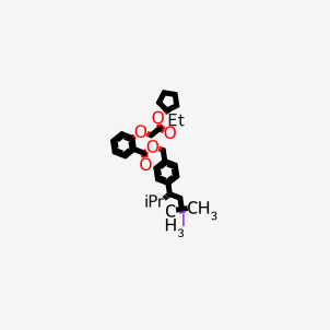 CCC1(OC(=O)COc2ccccc2C(=O)OCc2ccc(C(CC(C)(C)I)C(C)C)cc2)CCCC1